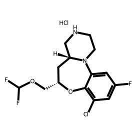 Cl.Fc1cc(Cl)c2c(c1)N1CCNC[C@H]1C[C@@H](COC(F)F)O2